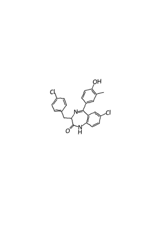 Cc1cc(C2=NC(Cc3ccc(Cl)cc3)C(=O)Nc3ccc(Cl)cc32)ccc1O